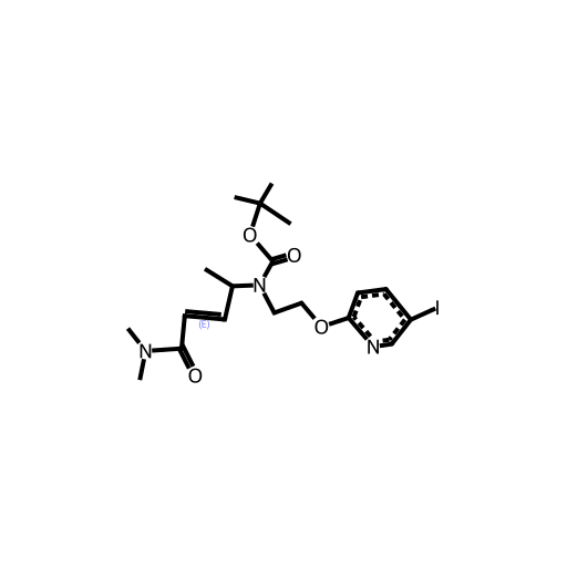 CC(/C=C/C(=O)N(C)C)N(CCOc1ccc(I)cn1)C(=O)OC(C)(C)C